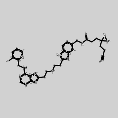 C#CCCC1(CCC(=O)NCc2ccc3[nH]c(CCNCCc4nc5c(NCc6ncccc6F)ncnc5s4)nc3c2)NN1